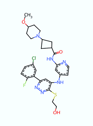 COC1CCN(C2CC(C(=O)Nc3cc(Nc4cc(-c5cc(Cl)ccc5F)nnc4SCCO)ccn3)C2)CC1